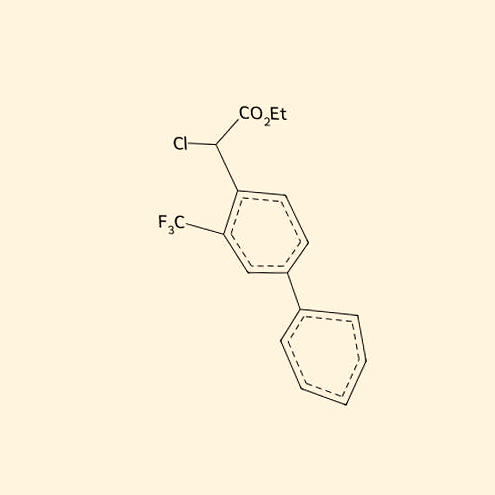 CCOC(=O)C(Cl)c1ccc(-c2ccccc2)cc1C(F)(F)F